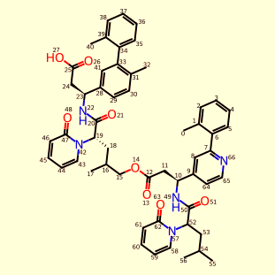 Cc1ccccc1-c1cc([C@H](CC(=O)OCC(C)C[C@@H](C(=O)N[C@@H](CC(=O)O)c2ccc(C)c(-c3ccccc3C)c2)n2ccccc2=O)NC(=O)C(CC(C)C)n2ccccc2=O)ccn1